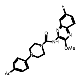 COc1nc2ccc(F)cc2nc1NC(=O)N1CCN(c2ccc(C(C)=O)cc2)CC1